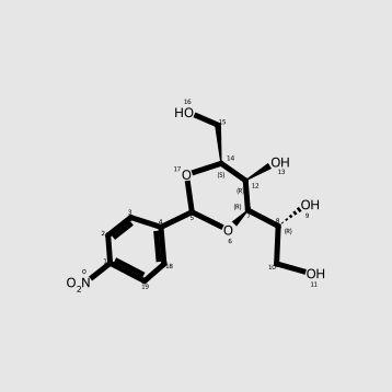 O=[N+]([O-])c1ccc(C2O[C@H]([C@H](O)CO)[C@H](O)[C@H](CO)O2)cc1